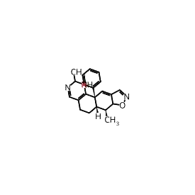 CC1N=CC2=C(N1)[C@]1(c3ccccc3)C=C3C=NOC3[C@@H](C)[C@@H]1CC2